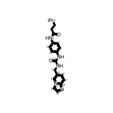 CC(C)CCC(=O)Nc1ccc(NC(=O)NCc2ccc3nccn3c2)cc1